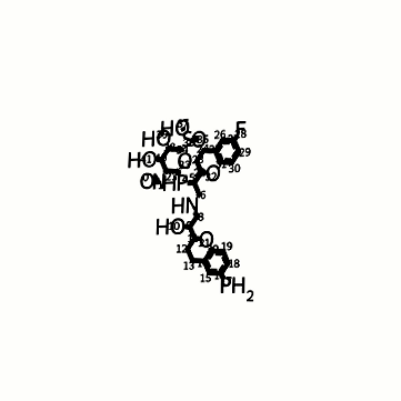 O=NC1C(PC(CNCC(O)C2CCc3cc(P)ccc3O2)C2CCc3cc(F)ccc3O2)OC(S(=O)O)C(O)C1O